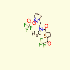 CN(CCc1cccc[n+]1OC(=O)C(F)(F)F)C(=O)c1ccc(C(=O)C(F)(F)F)s1